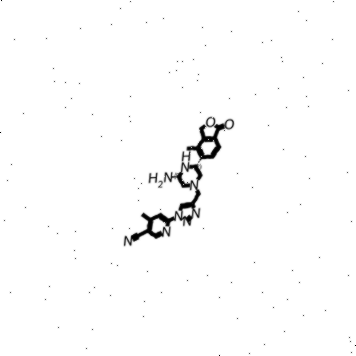 Cc1cc(-n2cc(CN3C[C@@H](c4ccc5c(c4C)COC5=O)N[C@@H](N)C3)nn2)ncc1C#N